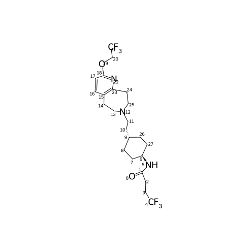 O=C(CCC(F)(F)F)N[C@H]1CC[C@H](CCN2CCc3ccc(OCC(F)(F)F)nc3CC2)CC1